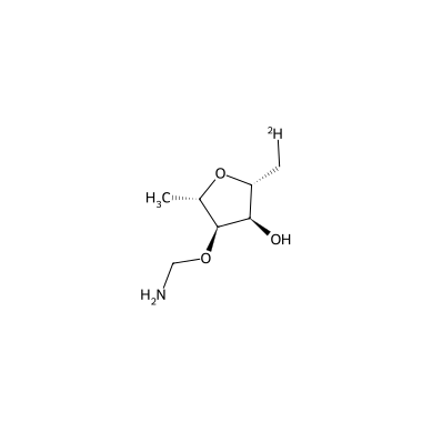 [2H]C[C@H]1O[C@@H](C)[C@H](OCN)[C@@H]1O